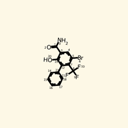 NC(=O)c1cc(Br)c(C(F)(F)F)c(-c2ccccc2)c1O